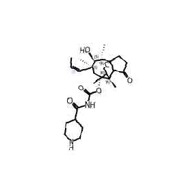 C/C=C\[C@]1(C)C[C@@H](OC(=O)NC(=O)C2CCNCC2)[C@]2(C)C(C)CCC3(CCC(=O)C32)[C@@H](C)[C@@H]1O